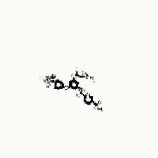 COC[C@H](C)Oc1cc(NC(=O)c2ccc(C(=O)O)cn2)cc(Oc2ccc(S(C)(=O)=O)cc2)c1